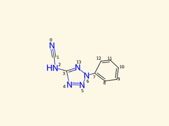 N#CNc1nnn(-c2ccccc2)n1